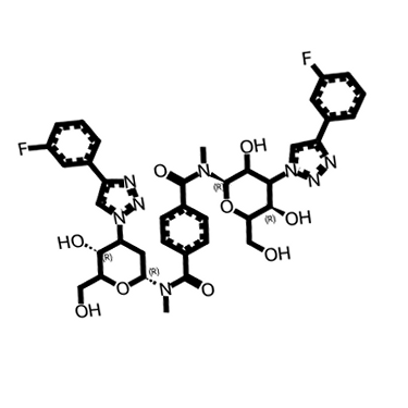 CN(C(=O)c1ccc(C(=O)N(C)[C@H]2CC(n3cc(-c4cccc(F)c4)nn3)[C@@H](O)C(CO)O2)cc1)[C@@H]1OC(CO)[C@H](O)C(n2cc(-c3cccc(F)c3)nn2)C1O